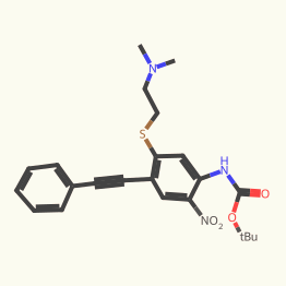 CN(C)CCSc1cc(NC(=O)OC(C)(C)C)c([N+](=O)[O-])cc1C#Cc1ccccc1